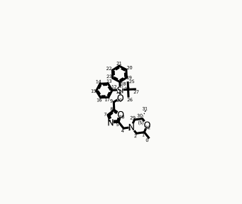 CC1CN(Cc2ncc(CO[Si](c3ccccc3)(c3ccccc3)C(C)(C)C)o2)C[C@H](C)O1